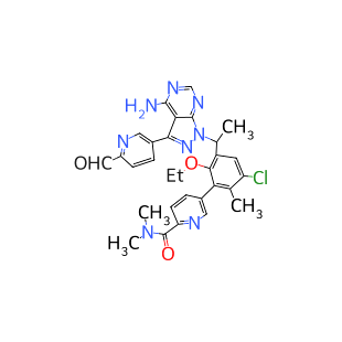 CCOc1c(C(C)n2nc(-c3ccc(C=O)nc3)c3c(N)ncnc32)cc(Cl)c(C)c1-c1ccc(C(=O)N(C)C)nc1